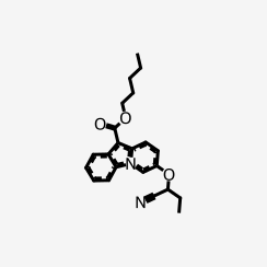 CCCCCOC(=O)c1c2ccccc2n2cc(OC(C#N)CC)ccc12